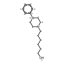 OCCCCCCN1CCN(c2ccccc2)CC1